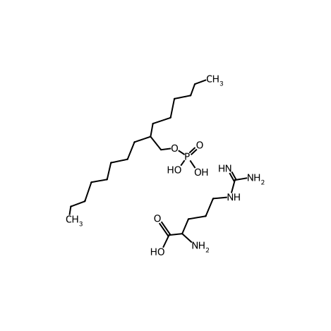 CCCCCCCCC(CCCCCC)COP(=O)(O)O.N=C(N)NCCCC(N)C(=O)O